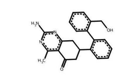 Cc1nc(N)nc2c1C(=O)CC(c1ccccc1-c1ccccc1CO)C2